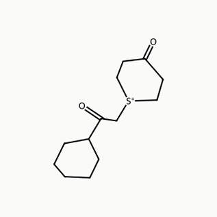 O=C1CC[S+](CC(=O)C2CCCCC2)CC1